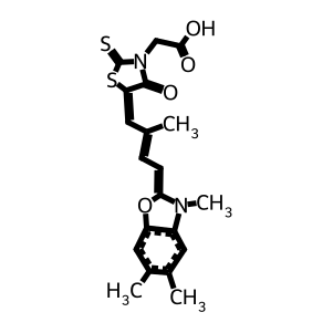 CC(=C\C=C1/Oc2cc(C)c(C)cc2N1C)/C=C1/SC(=S)N(CC(=O)O)C1=O